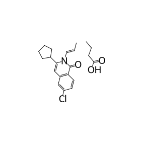 CC=Cn1c(C2CCCC2)cc2cc(Cl)ccc2c1=O.CCCC(=O)O